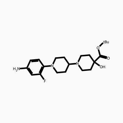 CC(C)(C)OC(=O)C1(O)CCN(C2CCN(c3ccc(N)cc3F)CC2)CC1